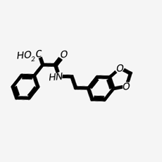 O=C(O)C(C(=O)NCCc1ccc2c(c1)OCO2)c1ccccc1